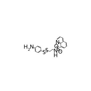 Nc1ccc(SSCCNS(=O)(=O)c2cccc3cccnc23)cc1